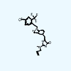 C=CCN(C)C1=NC(=O)C(=Cc2ccc3c(cnn3Cc3ccc(Cl)cc3C(F)(F)F)c2)S1